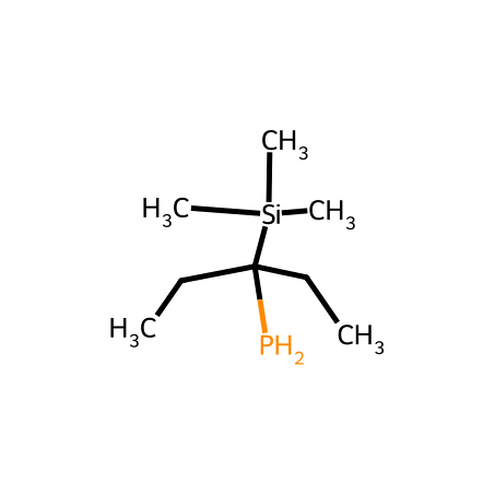 CCC(P)(CC)[Si](C)(C)C